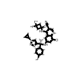 [2H][C@](Nc1cc(Cl)c2ncc(C#N)c(NC3(C)CC(F)(F)C3)c2c1)(c1ccc(F)cc1)c1cn(C2CC2)nn1